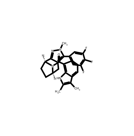 Cc1[nH]c2c(C(=O)N3[C@@H]4CC[C@H]3c3nn(C)c(-c5cc(F)c(F)c(F)c5)c3C4)cccc2c1C